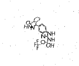 O=c1[nH]nc(-c2ccc3[nH]c(NC(O)OCC(F)(F)F)nc3c2)c2ccccc12